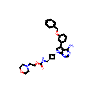 Nc1ncnc2c1c(-c1cccc(OCc3ccccc3)c1)cn2[C@H]1C[C@H](CNC(=O)OCCN2CCOCC2)C1